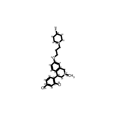 CN1Cc2cc(OCCCN3CCC(F)CC3)ccc2C(c2ccc(Cl)cc2Cl)C1